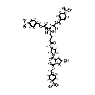 O=C(CCCN/C(=N\C(=O)OCc1ccc([N+](=O)[O-])cc1)NC(=O)OCc1ccc([N+](=O)[O-])cc1)N[C@H]1CCN(C(=O)[C@@H]2C[C@H](S)CN2C(=O)OCc2ccc([N+](=O)[O-])cc2)C1